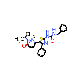 CC(C)n1nc(-c2sc(NC(=O)NCc3ccccc3)nc2-c2ccccc2)ccc1=O